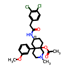 COc1cccc(C23CCN(C)CC2(OC(C)=O)CC[C@H](NC(=O)Cc2ccc(Cl)c(Cl)c2)C3)c1